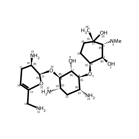 CN[C@@H]1[C@@H](O)[C@@H](O[C@@H]2[C@@H](O)[C@H](O[C@H]3OC(CN)=CC[C@H]3N)[C@@H](N)C[C@H]2N)CC[C@]1(C)O